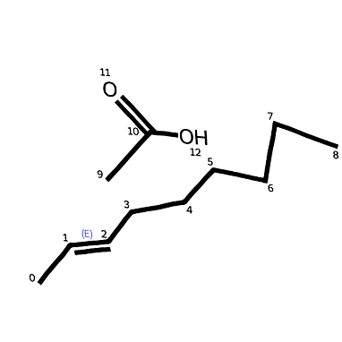 C/C=C/CCCCCC.CC(=O)O